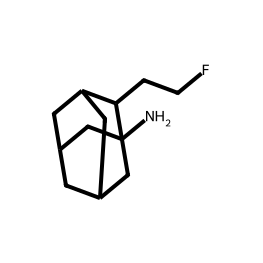 NC12CC3CC(CC(C3)C1CCF)C2